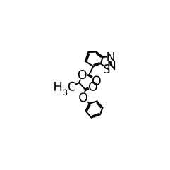 CC(OC(=O)c1cccc2nnsc12)C(=O)Oc1ccccc1